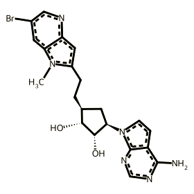 Cn1c(CC[C@H]2C[C@@H](n3ccc4c(N)ncnc43)[C@H](O)[C@@H]2O)cc2ncc(Br)cc21